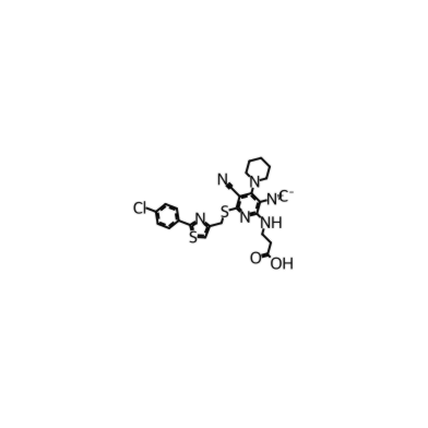 [C-]#[N+]c1c(NCCC(=O)O)nc(SCc2csc(-c3ccc(Cl)cc3)n2)c(C#N)c1N1CCCCC1